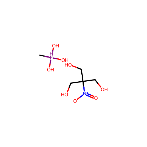 C[PH](O)(O)O.O=[N+]([O-])C(CO)(CO)CO